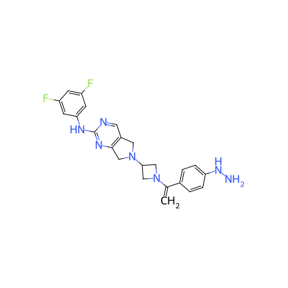 C=C(c1ccc(NN)cc1)N1CC(N2Cc3cnc(Nc4cc(F)cc(F)c4)nc3C2)C1